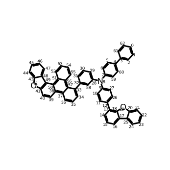 c1ccc(-c2ccc(N(c3ccc(-c4cccc5c4oc4ccccc45)cc3)c3cccc(-c4cccc5c6ccc7oc8ccccc8c7c6c6ccccc6c45)c3)cc2)cc1